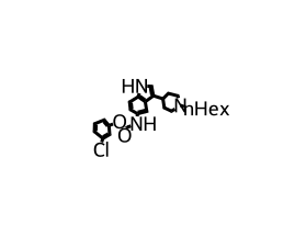 CCCCCCN1CCC(c2c[nH]c3ccc(NC(=O)Oc4cccc(Cl)c4)cc23)CC1